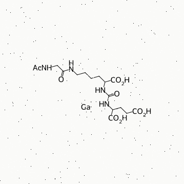 CC(=O)NCC(=O)NCCCCC(NC(=O)NC(CCC(=O)O)C(=O)O)C(=O)O.[Ga]